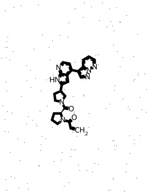 C=CC(=O)N1CCC[C@H]1C(=O)N1CCC(c2cc3c(-c4cnn5ncccc45)ccnc3[nH]2)C1